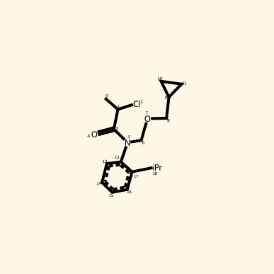 CC(Cl)C(=O)N(COCC1CC1)c1ccccc1C(C)C